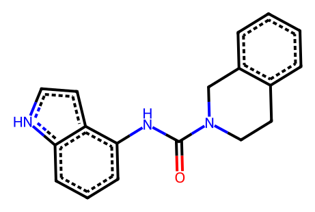 O=C(Nc1cccc2[nH]ccc12)N1CCc2ccccc2C1